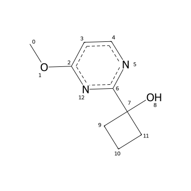 COc1ccnc(C2(O)CCC2)n1